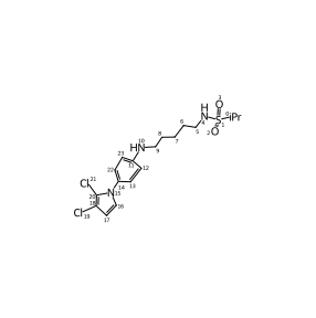 CC(C)S(=O)(=O)NCCCCCNc1ccc(-n2ccc(Cl)c2Cl)cc1